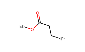 [CH2]C(C)CCC(=O)OCC